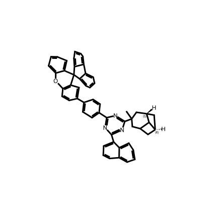 CC1(c2nc(-c3ccc(-c4ccc5c(c4)C4(c6ccccc6O5)c5ccccc5-c5ccccc54)cc3)nc(-c3cccc4ccccc34)n2)CC2C[C@@H]3C[C@@H](C1)C23